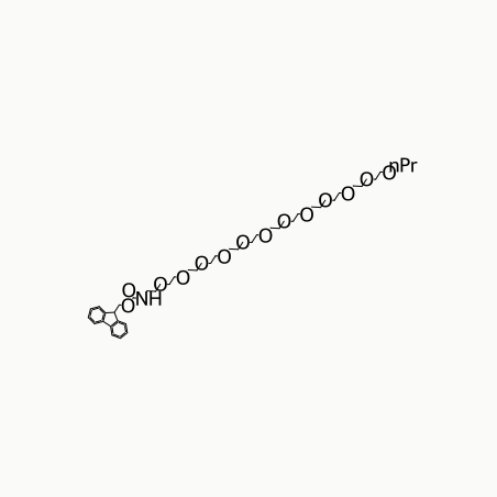 CCCOCCOCCOCCOCCOCCOCCOCCOCCOCCOCCOCCOCCNC(=O)OCC1c2ccccc2-c2ccccc21